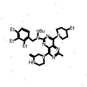 C=C1CN(c2nc(C)nc3c(N4CCC(CC)CC4)nc(N(CCCC)Cc4ccc(CC)c(CC)c4CC)nc23)CCN1